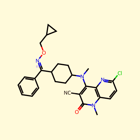 CN(c1c(C#N)c(=O)n(C)c2ccc(Cl)nc12)C1CCC(/C(=N\OCC2CC2)c2ccccc2)CC1